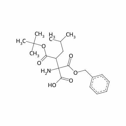 CC(C)CC(C(=O)OC(C)(C)C)C(N)(C(=O)O)C(=O)OCc1ccccc1